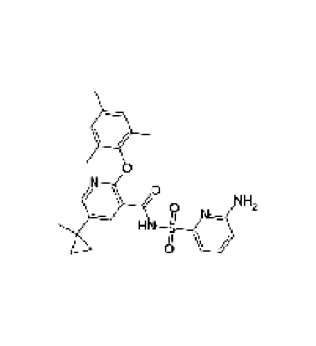 Cc1cc(C)c(Oc2ncc(C3(C)CC3)cc2C(=O)NS(=O)(=O)c2cccc(N)n2)c(C)c1